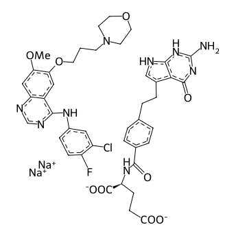 COc1cc2ncnc(Nc3ccc(F)c(Cl)c3)c2cc1OCCCN1CCOCC1.Nc1nc(=O)c2c(CCc3ccc(C(=O)N[C@@H](CCC(=O)[O-])C(=O)[O-])cc3)c[nH]c2[nH]1.[Na+].[Na+]